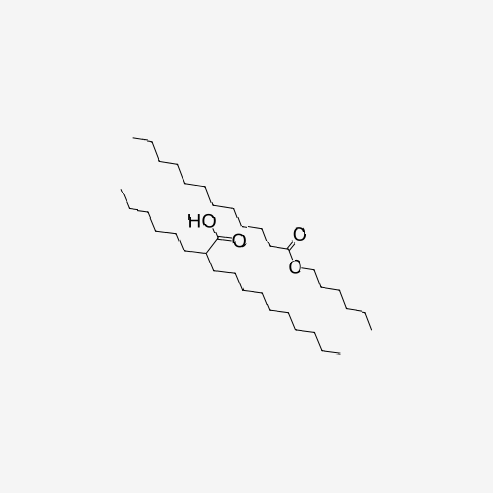 CCCCCCCCCCC(CCCCCC)C(=O)O.CCCCCCCCCCCC(=O)OCCCCCC